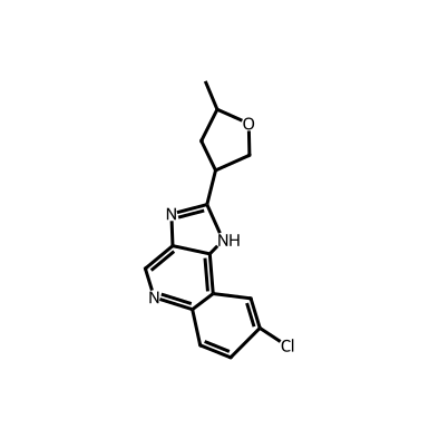 CC1CC(c2nc3cnc4ccc(Cl)cc4c3[nH]2)CO1